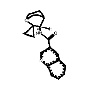 O=C(N[C@H]1C2CCN(CC2)C12CC2)c1cnc2ccccc2c1